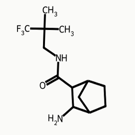 CC(C)(CNC(=O)C1C2CCC(C2)C1N)C(F)(F)F